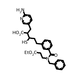 CCOC(=O)CCN(Cc1ccccc1)C(=O)c1cccc(CCC(S)C(Cc2ccc(N)nc2)C(=O)O)c1